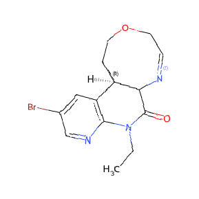 CCN1C(=O)C2/N=C\COCC[C@@H]2c2cc(Br)cnc21